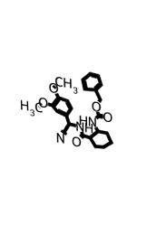 COc1ccc(C(C#N)NC(=O)C2CCCCC2NC(=O)OCc2ccccc2)cc1OC